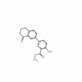 COC(=O)c1nc(-c2ccc3c(c2)C(=O)CCC3)ccc1O